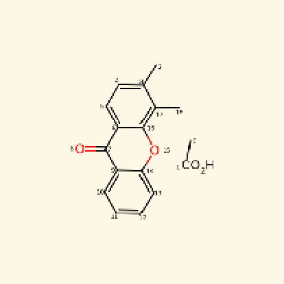 CC(=O)O.Cc1ccc2c(=O)c3ccccc3oc2c1C